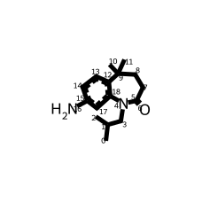 CC(C)CN1C(=O)CCC(C)(C)c2ccc(N)cc21